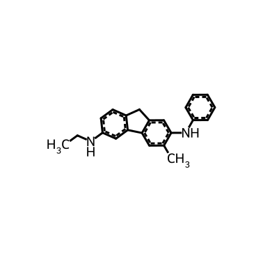 CCNc1ccc2c(c1)-c1cc(C)c(Nc3ccccc3)cc1C2